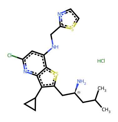 CC(C)C[C@H](N)Cc1sc2c(NCc3nccs3)cc(Cl)nc2c1C1CC1.Cl